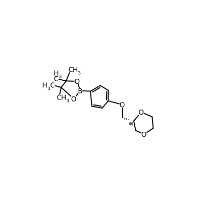 CC1(C)OB(c2ccc(OC[C@H]3COCCO3)cc2)OC1(C)C